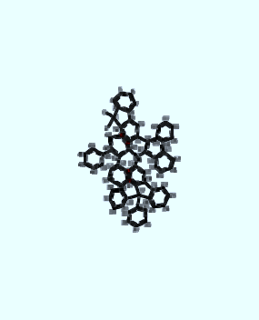 CC1(C)c2ccccc2-c2cc(-c3c(N(c4ccc5c(c4)-c4ccccc4C5(c4ccccc4)c4ccccc4)c4cccc(-c5ccccc5)c4-c4ccccc4)c4ccccc4c4ccccc34)ccc21